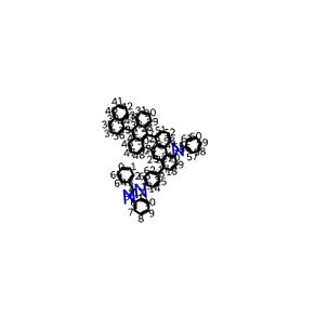 c1ccc(-c2nc3ccccc3n2-c2ccc(-c3ccc4c5c3ccc3c(-c6c7ccccc7c(-c7cccc8ccccc78)c7ccccc67)ccc(c35)n4-c3ccccc3)cc2)cc1